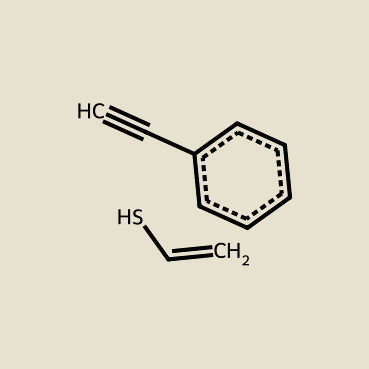 C#Cc1ccccc1.C=CS